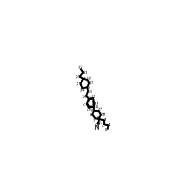 CCCCC1(C#N)CCC(c2ccc(CCC3CCC(CCC)CC3)cc2)CC1